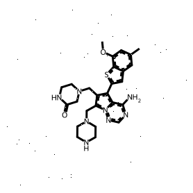 COc1cc(C)cc2cc(-c3c(CN4CCNC(=O)C4)c(CN4CCNCC4)n4ncnc(N)c34)sc12